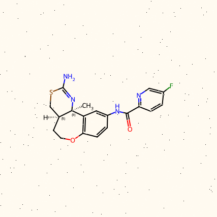 C[C@@]12N=C(N)SC[C@@H]1CCOc1ccc(NC(=O)c3ccc(F)cn3)cc12